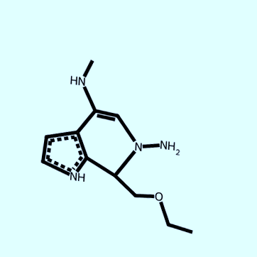 CCOCC1c2[nH]ccc2C(NC)=CN1N